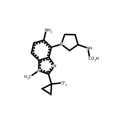 Cn1c(C2(C(F)(F)F)CC2)nc2c(N3CCC(NC(=O)O)C3)c(N)ccc21